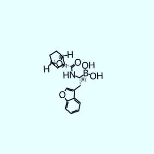 O=C(N[C@@H](Cc1coc2ccccc12)B(O)O)[C@@H]1C[C@@H]2CC[C@H]1O2